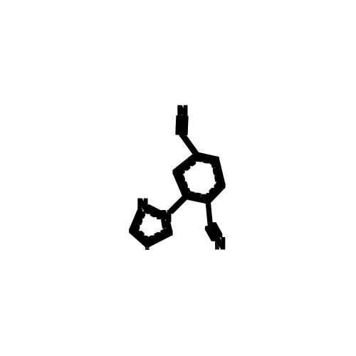 N#Cc1ccc(C#N)c(-n2c[c]cn2)c1